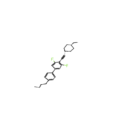 CCCCc1ccc(-c2cc(F)c(C#C[C@H]3CC[C@H](CC)CC3)c(F)c2)cc1